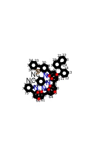 N#Cc1c(C#N)c(-n2c3ccc(-c4ccccc4-c4cccc5ccccc45)cc3c3ccc4c5ccccc5sc4c32)c(-n2c3ccccc3c3ccccc32)c(-n2c3ccccc3c3ccccc32)c1-n1c2ccccc2c2ccccc21